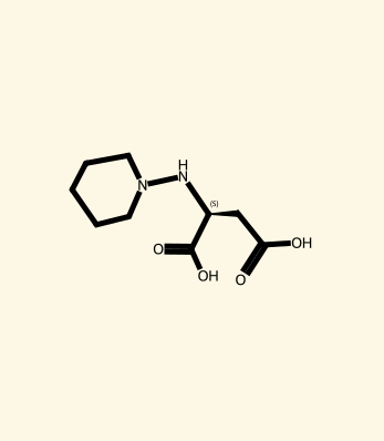 O=C(O)C[C@H](NN1CCCCC1)C(=O)O